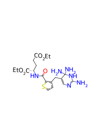 CCOC(=O)CC[C@H](NC(=O)c1sccc1CC1=CN=C(N)NC1(N)N)C(=O)OCC